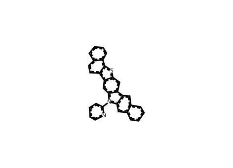 c1ccc(-n2c3cc4ccccc4cc3c3cc4sc5c6ccccc6ccc5c4cc32)nc1